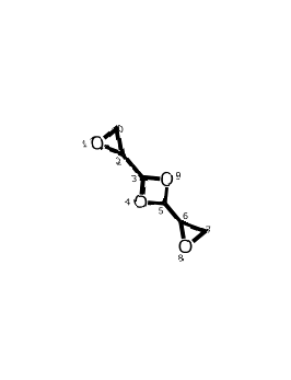 C1OC1C1OC(C2CO2)O1